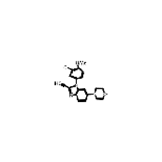 C#Cc1nc2ccc(N3CCOCC3)cc2n1-c1ccc(OC)c(Cl)c1